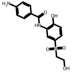 Nc1ccc(C(=O)Nc2cc(S(=O)(=O)CCO)ccc2O)cc1